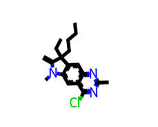 C=C1N(C)c2cc3c(Cl)nc(C)nc3cc2C1(CC)CCCC